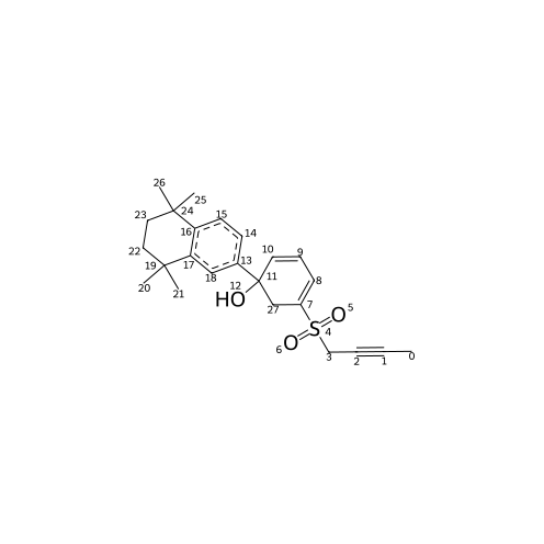 CC#CCS(=O)(=O)C1=CC=CC(O)(c2ccc3c(c2)C(C)(C)CCC3(C)C)C1